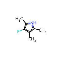 Cc1[nH]c(C)c(F)c1C